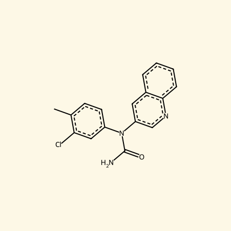 Cc1ccc(N(C(N)=O)c2cnc3ccccc3c2)cc1Cl